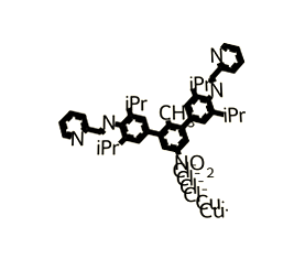 Cc1c(-c2cc(C(C)C)c(N=Cc3ccccn3)c(C(C)C)c2)cc([N+](=O)[O-])cc1-c1cc(C(C)C)c(N=Cc2ccccn2)c(C(C)C)c1.[Cl-].[Cl-].[Cl-].[Cl-].[Cu].[Cu]